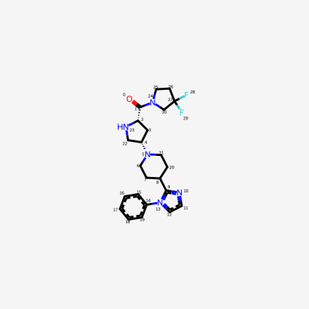 O=C([C@@H]1C[C@H](N2CCC(c3nccn3-c3ccccc3)CC2)CN1)N1CCC(F)(F)C1